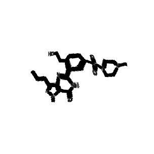 CCCc1nn(C)c2c(=O)[nH]c(-c3cc(S(=O)(=O)N4CCN(C)CC4)ccc3CCO)nc12